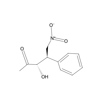 CC(=O)[C@@H](O)[C@@H](C[N+](=O)[O-])c1ccccc1